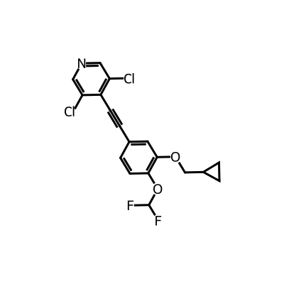 FC(F)Oc1ccc(C#Cc2c(Cl)cncc2Cl)cc1OCC1CC1